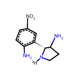 [2H]N1CCC(N)[C@H]1c1cc([N+](=O)[O-])ccc1N